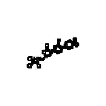 O=C(NC[C@H]1CN(c2ccc(N3C=CS(=O)(=O)CC3)c(F)c2)C(=O)O1)C(Cl)Cl